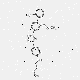 COCc1cc(-c2nc(-c3ccc(NCCCO)nc3)no2)ccc1-c1ccccc1C